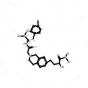 CCN(CC)C(=O)C(C#N)CCc1ccc2c(c1)CN(CC(=O)N[C@@H](Cc1ccc(C)cc1)B(O)O)CC2